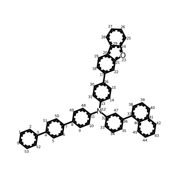 c1ccc(-c2ccc(-c3ccc(N(c4ccc(-c5ccc6c(c5)oc5ccccc56)cc4)c4cccc(-c5cccc6ccccc56)c4)cc3)cc2)cc1